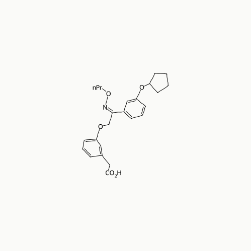 CCCON=C(COc1cccc(CC(=O)O)c1)c1cccc(OC2CCCC2)c1